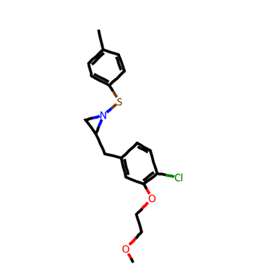 COCCOc1cc(CC2CN2Sc2ccc(C)cc2)ccc1Cl